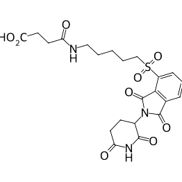 O=C(O)CCC(=O)NCCCCCS(=O)(=O)c1cccc2c1C(=O)N(C1CCC(=O)NC1=O)C2=O